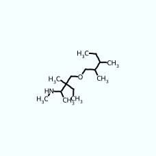 CCC(C)C(C)COCC(C)(CC)C(C)NC